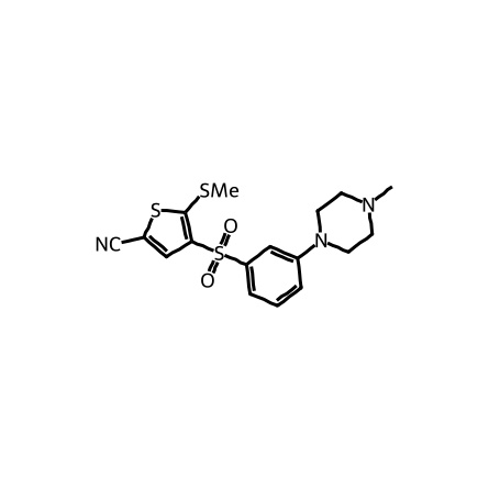 CSc1sc(C#N)cc1S(=O)(=O)c1cccc(N2CCN(C)CC2)c1